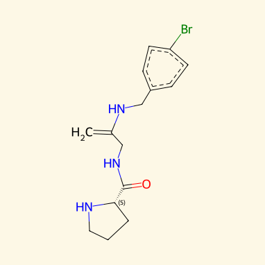 C=C(CNC(=O)[C@@H]1CCCN1)NCc1ccc(Br)cc1